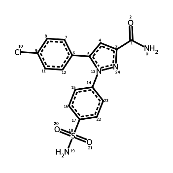 NC(=O)c1cc(-c2ccc(Cl)cc2)n(-c2ccc(S(N)(=O)=O)cc2)n1